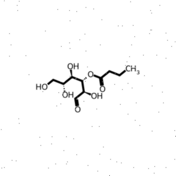 CCCC(=O)O[C@@H]([C@H](O)[C@H](O)CO)[C@@H](O)C=O